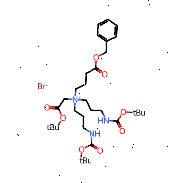 CC(C)(C)OC(=O)C[N+](CCCNC(=O)OC(C)(C)C)(CCCNC(=O)OC(C)(C)C)CCCC(=O)OCc1ccccc1.[Br-]